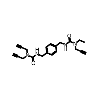 C#CCN(CC)C(=O)NCc1ccc(CNC(=O)N(CC#C)CC#C)cc1